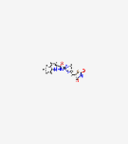 O=C1NC(=O)/C(=C/c2ccnc(NC(=O)c3ccc4ccccc4n3)n2)S1